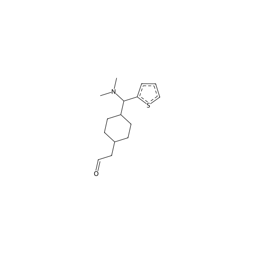 CN(C)C(c1cccs1)C1CCC(CC=O)CC1